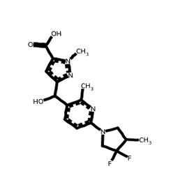 Cc1nc(N2CC(C)C(F)(F)C2)ccc1C(O)c1cc(C(=O)O)n(C)n1